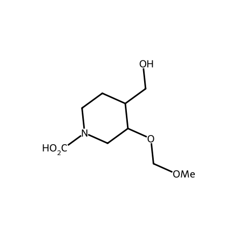 COCOC1CN(C(=O)O)CCC1CO